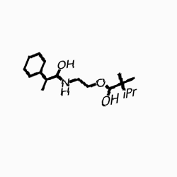 CC(C1CCCCC1)C(O)NCCOC(O)C(C)(C)C(C)C